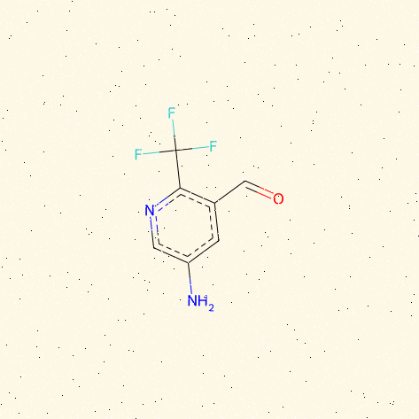 Nc1cnc(C(F)(F)F)c(C=O)c1